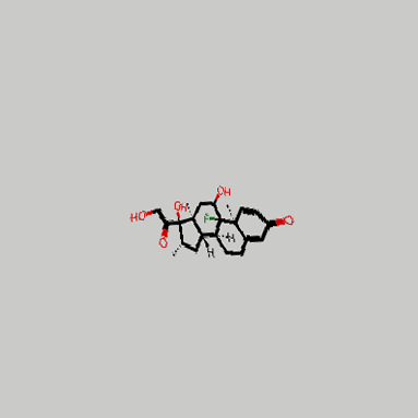 C[C@H]1C[C@H]2[C@@H]3CCC4=CC(=O)C=C[C@]4(C)[C@@]3(F)C(O)C[C@]2(C)[C@@]1(O)C(=O)CO